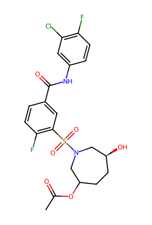 CC(=O)OC1CC[C@H](O)CN(S(=O)(=O)c2cc(C(=O)Nc3ccc(F)c(Cl)c3)ccc2F)C1